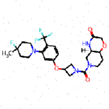 CC1(F)CCN(c2cc(OC3CN(C(=O)N4CCC5OCC(=O)N[C@@H]5C4)C3)ccc2C(F)(F)F)CC1